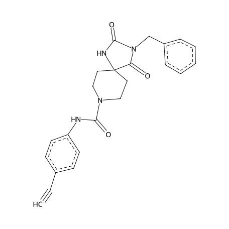 C#Cc1ccc(NC(=O)N2CCC3(CC2)NC(=O)N(Cc2ccccc2)C3=O)cc1